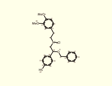 COc1ccc(CCN(Cl)CC(OCc2ccccc2)c2ccc(S)cc2)cc1OC